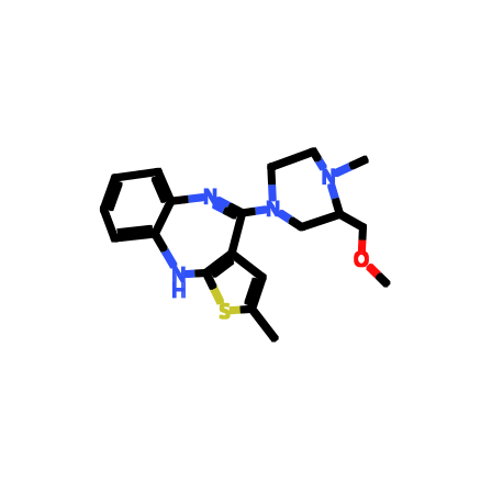 COCC1CN(C2=Nc3ccccc3Nc3sc(C)cc32)CCN1C